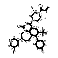 C=CC(=O)N1[C@H](C)CN(c2nc(=O)n3c4c(c(-c5ccc(F)cc5)c(C(F)(F)F)cc24)SC[C@@H](c2cncc(F)c2)C3)C[C@@H]1C